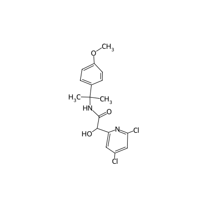 COc1ccc(C(C)(C)NC(=O)C(O)c2cc(Cl)cc(Cl)n2)cc1